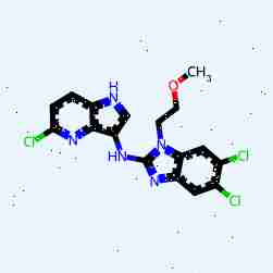 COCCn1c(Nc2c[nH]c3ccc(Cl)nc23)nc2cc(Cl)c(Cl)cc21